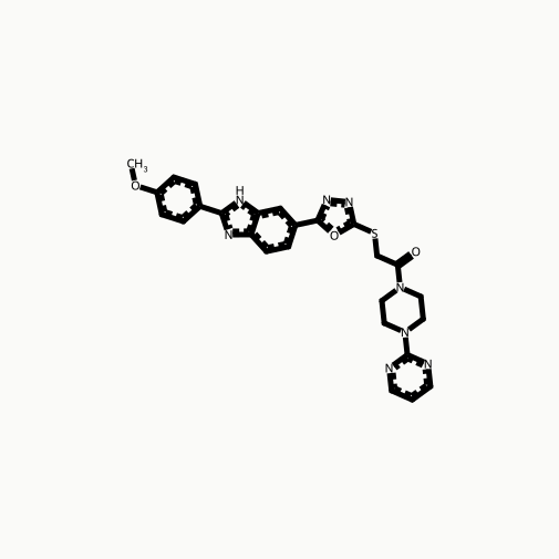 COc1ccc(-c2nc3ccc(-c4nnc(SCC(=O)N5CCN(c6ncccn6)CC5)o4)cc3[nH]2)cc1